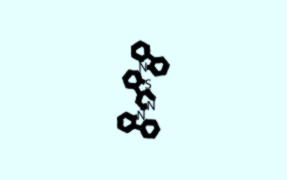 c1cc(-n2c3ccccc3c3ccccc32)c2sc3cnc(-n4c5ccccc5c5ccccc54)cc3c2c1